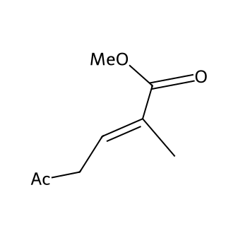 COC(=O)C(C)=CCC(C)=O